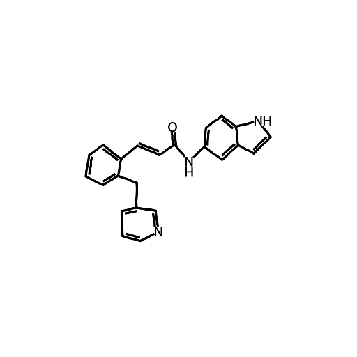 O=C(/C=C/c1ccccc1Cc1cccnc1)Nc1ccc2[nH]ccc2c1